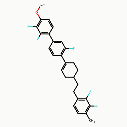 CCCOc1ccc(-c2ccc(C3=CCC(CCc4ccc(C)c(F)c4F)CC3)c(F)c2)c(F)c1F